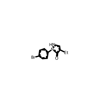 CCc1c[nH]n(-c2ccc(Br)cc2)c1=O